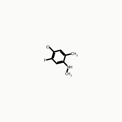 CNc1cc(F)c(Cl)cc1C